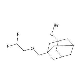 CC(C)OC12CC3CC(CC(COCC(F)F)(C3)C1)C2